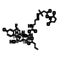 CCCC1O[C@@H]2C[C@H]3[C@@H]4C[C@H](F)C5=CC(=O)C=C[C@]5(C)[C@@]4(F)[C@@H](O)C[C@]3(C)[C@]2(C(=O)COC(=O)NCCSSC(C)(C)CC(=O)ON2C(=O)CCC2=O)O1